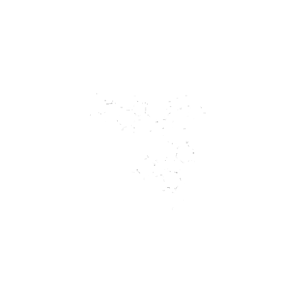 COc1ccc(C(OC[C@H]2O[C@@H](n3nnc4c(N=C(C)N(C)C)ncnc43)[C@H](O)[C@@H]2O[Si](C(C)C)(C(C)C)C(C)C)(c2ccccc2)c2ccc(OC)cc2)cc1